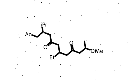 CCC(CC(=O)CC(C)OC)CC(=O)CC(CC(C)=O)C(C)C